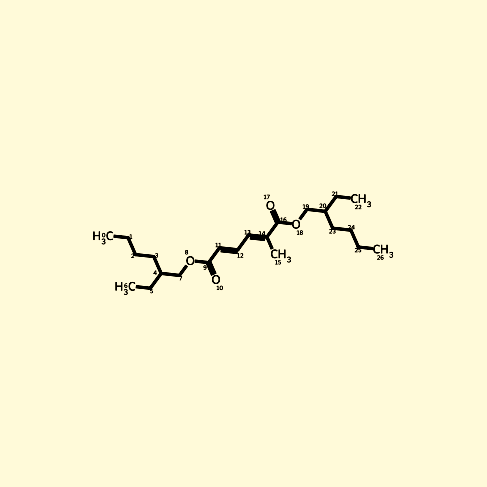 CCCCC(CC)COC(=O)/C=C/C=C(\C)C(=O)OCC(CC)CCCC